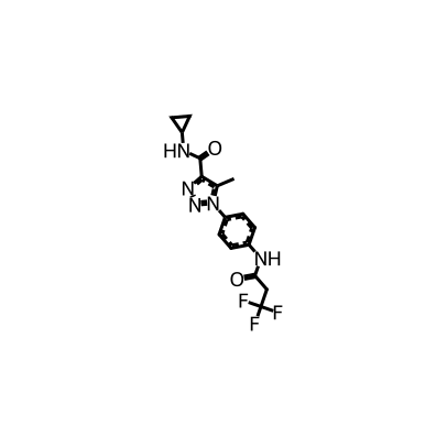 Cc1c(C(=O)NC2CC2)nnn1-c1ccc(NC(=O)CC(F)(F)F)cc1